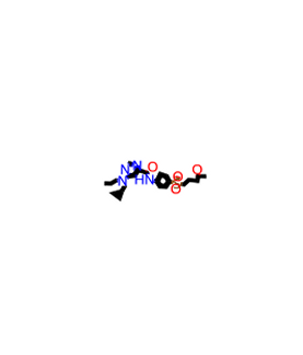 CCCN(CC1CC1)c1cc(C(=O)Nc2ccc(S(=O)(=O)CCCC(C)=O)cc2)ncn1